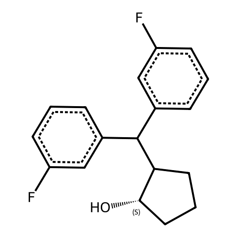 O[C@H]1CCCC1C(c1cccc(F)c1)c1cccc(F)c1